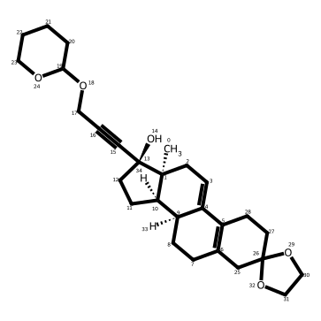 C[C@]12CC=C3C4=C(CC[C@H]3[C@H]1CC[C@]2(O)C#CCOC1CCCCO1)CC1(CC4)OCCO1